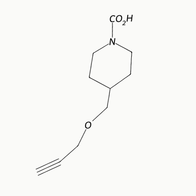 C#CCOCC1CCN(C(=O)O)CC1